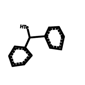 [TeH]C(c1ccccc1)c1ccccc1